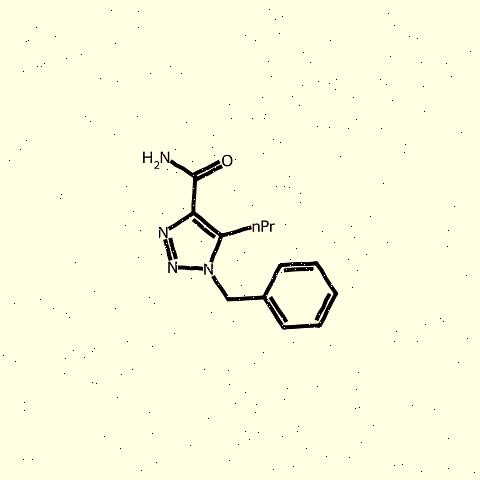 CCCc1c(C(N)=O)nnn1Cc1ccccc1